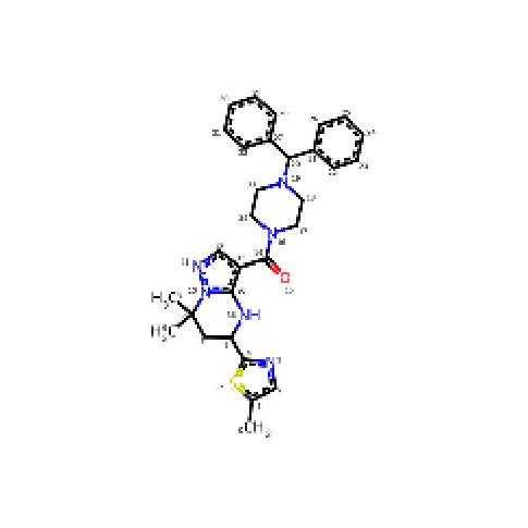 Cc1cnc(C2CC(C)(C)n3ncc(C(=O)N4CCN(C(c5ccccc5)c5ccccc5)CC4)c3N2)s1